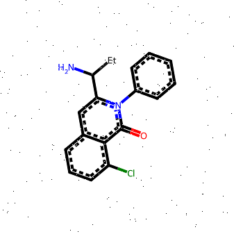 CCC(N)c1cc2cccc(Cl)c2c(=O)n1-c1ccccc1